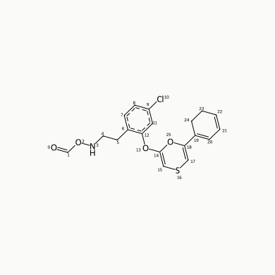 O=CONCCc1ccc(Cl)cc1OC1=CSC=C(C2=CC=CCC2)O1